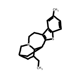 CCC1CC2CC3c4sc5ccc(C)cc5c4CCN(C2)C13